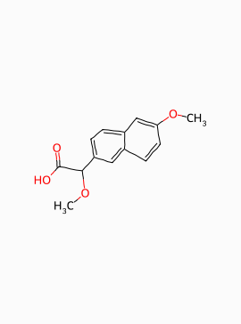 COc1ccc2cc(C(OC)C(=O)O)ccc2c1